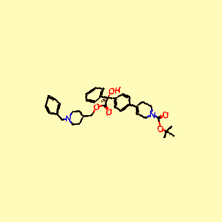 CC(C)(C)OC(=O)N1CC=C(c2ccc([C@](O)(C(=O)OCC3CCN(Cc4ccccc4)CC3)c3ccccc3)cc2)CC1